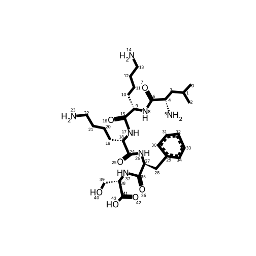 CC(C)C[C@H](N)C(=O)N[C@@H](CCCCN)C(=O)N[C@@H](CCCCN)C(=O)N[C@@H](Cc1ccccc1)C(=O)N[C@@H](CO)C(=O)O